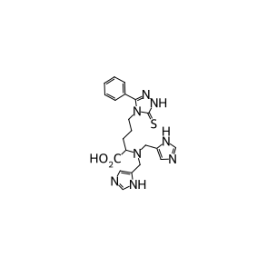 O=C(O)C(CCCn1c(-c2ccccc2)n[nH]c1=S)N(Cc1cnc[nH]1)Cc1cnc[nH]1